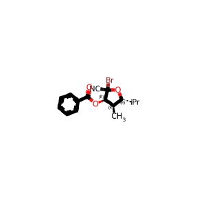 CC(C)[C@H]1OC(Br)(C#N)[C@H](OC(=O)c2ccccc2)[C@@H]1C